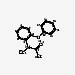 CCC(=O)N(CC)c1ccccc1Oc1ccccc1